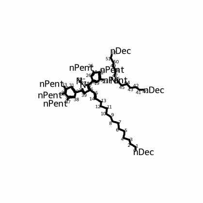 CCCCCCCCCCCCCCCCCCCCCCCC=CC1=C(c2cc(CCCCC)c(CCCCC)c(CCCCC)c2)[N+](=[N-])C(c2cc(CCCCC)c(CCCCC)c(CCCCC)c2)=C1.CCCCCCCCCCCCCC[CH2][Ni][CH2]CCCCCCCCCCCCCC